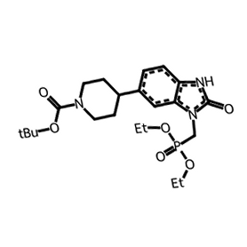 CCOP(=O)(Cn1c(=O)[nH]c2ccc(C3CCN(C(=O)OC(C)(C)C)CC3)cc21)OCC